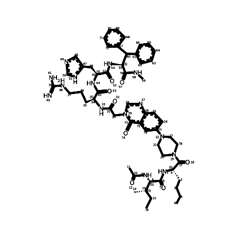 CCCC[C@H](NC(=O)[C@@H](NC(C)=O)[C@@H](C)CC)C(=O)N1CCN(c2ccc3ncn(CC(=O)N[C@@H](CCCNC(=N)N)C(=O)N[C@@H](Cc4cnc[nH]4)C(=O)N[C@H](C(=O)NC)C(c4ccccc4)c4ccccc4)c(=O)c3c2)CC1